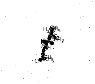 CC1(C)CCC(c2ccc(Cl)cc2)=C(CN2CCN(c3ccc(C(=O)NS(=O)(=O)c4ccc(N[C@H](CCN5CCN(CP(=O)(OCOC(=O)C(C)(C)C)OCOC(=O)C(C)(C)C)CC5)CSc5ccccc5)c(S(=O)(=O)C(F)(F)F)c4)cc3)CC2)C1